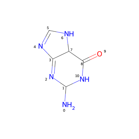 NC1N=C2N=CNC2C(=O)N1